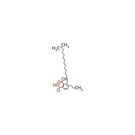 CCCc1ccc(C(=O)O)c(C(=O)O)c1CCCCCCCCCCCCCC(C)C